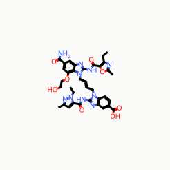 CCc1nc(C)oc1C(=O)Nc1nc2cc(C(N)=O)cc(OCCO)c2n1C/C=C/Cn1c(NC(=O)c2cc(C)nn2CC)nc2cc(C(=O)O)ccc21